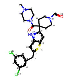 CN1CCN(C(=O)C2(c3cc4sc(Cc5cc(Cl)cc(Cl)c5)cc4[nH]3)CCN(C=O)CC2)CC1